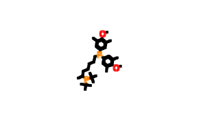 COc1c(C)cc(P(CCCCCC(C)P(C(C)(C)C)C(C)(C)C)c2cc(C)c(OC)c(C)c2)cc1C